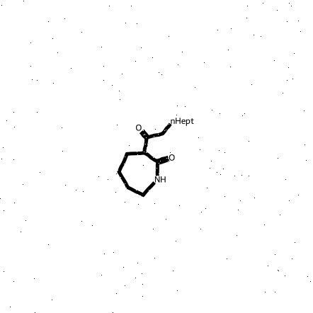 CCCCCCCCC(=O)C1CCCCNC1=O